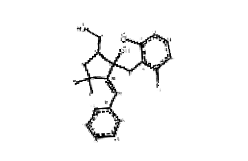 CC1(C)CC(CN)C(O)(Cc2c(F)cccc2Cl)C1=Cc1ccccc1